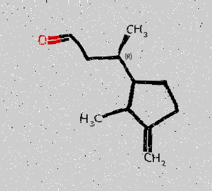 C=C1CCC([C@H](C)CC=O)C1C